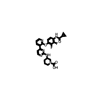 O=C(Nc1ccc(Oc2ncccc2-c2ccnc(NC3CCCN(C(=O)O)C3)n2)c(F)c1F)C1CC1